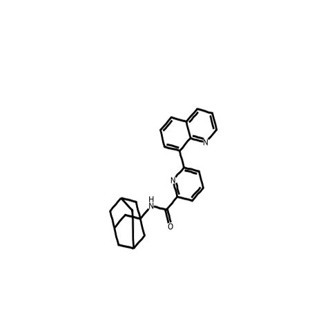 O=C(NC12CC3CC(CC(C3)C1)C2)c1cccc(-c2cccc3cccnc23)n1